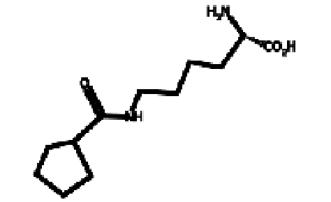 N[C@@H](CCCCNC(=O)C1CCCC1)C(=O)O